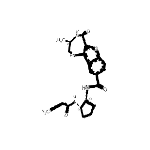 C=CC(=O)N[C@H]1CCC[C@@H]1NC(=O)c1ccc2sc3c(c2c1)NC[C@@H](C)NC3=O